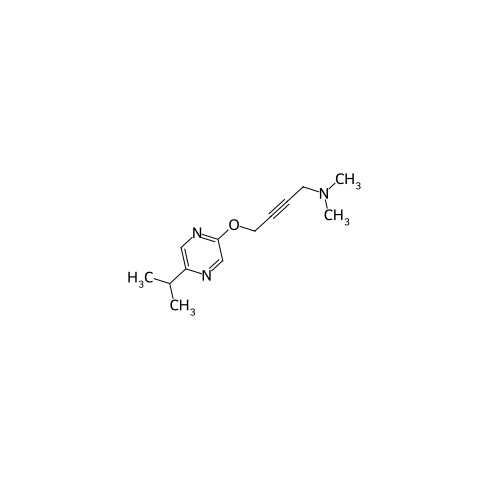 CC(C)c1cnc(OCC#CCN(C)C)cn1